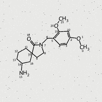 COc1ccc(CN2CCC3(CCCC(N)C3)C2=O)c(OC)c1